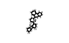 c1cc(-c2cc3ccccc3c3ccccc23)nc(-c2cccc3c2sc2ccccc23)c1